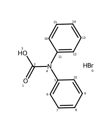 Br.O=C(O)N(c1ccccc1)c1ccccc1